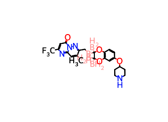 BC1(B)Oc2cc(OC3CCNCC3)ccc2OC1(B)BCc1nn2c(=O)cc(C(F)(F)F)nc2cc1C